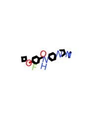 CN(C)C1CCN(c2ccc(NC(=O)c3ccc(OC4CCC4)c(F)c3)cc2)C1